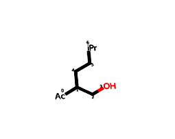 CC(=O)C(CO)CCC(C)C